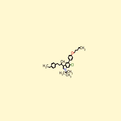 C=CCCCOc1ccc(-c2cc3c(C(=C)CCc4ccc(CC)cc4)cn(C(C)(C)C)c3cc2Cl)cc1